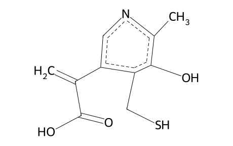 C=C(C(=O)O)c1cnc(C)c(O)c1CS